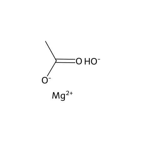 CC(=O)[O-].[Mg+2].[OH-]